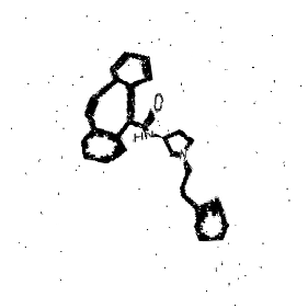 O=C(N[C@H]1CCN(CCc2ccccc2)C1)C1=C2C=CC=CC2C=Cc2ccccc21